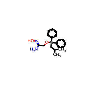 CC(C)C[Si](OCC(N)=NO)(c1ccccc1)c1ccccc1